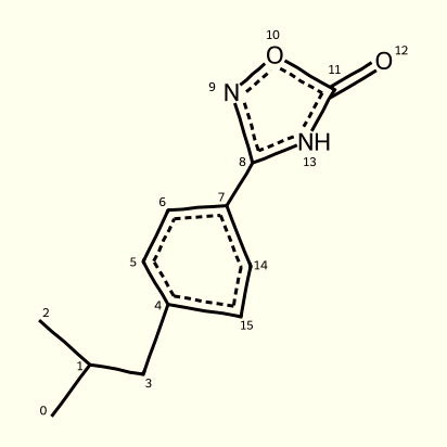 CC(C)Cc1ccc(-c2noc(=O)[nH]2)cc1